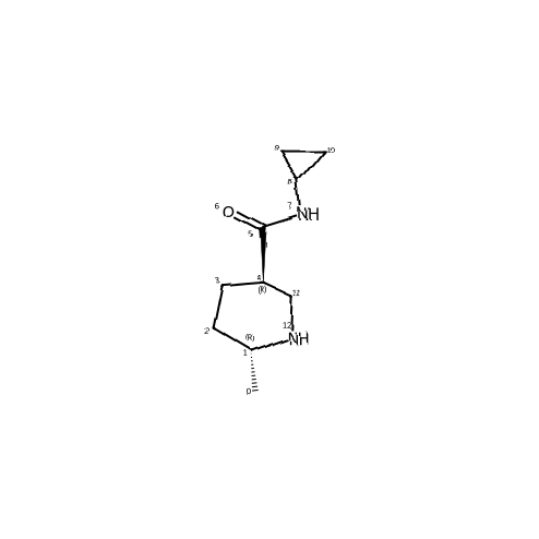 C[C@@H]1CC[C@@H](C(=O)NC2CC2)CN1